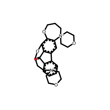 O=C1c2cccc3c2-c2cc4c(c(c21)OCCC[N+]31CCOCC1)OCCC[N+]41CCOCC1